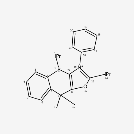 CC(C)B1c2ccccc2C(C)(C)c2oc(C(C)C)[n+](-c3ccccc3)c21